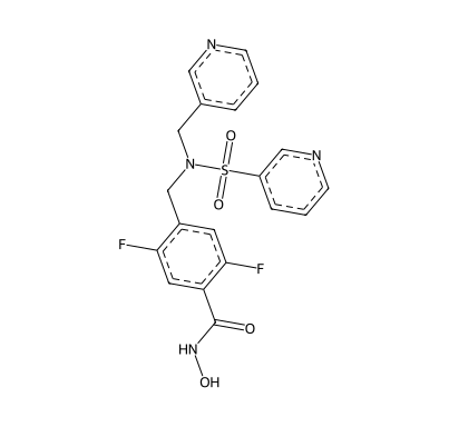 O=C(NO)c1cc(F)c(CN(Cc2cccnc2)S(=O)(=O)c2cccnc2)cc1F